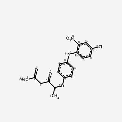 COC(=O)CC(=O)C(C)Oc1ccc(Nc2ccc(Cl)cc2[N+](=O)[O-])cc1